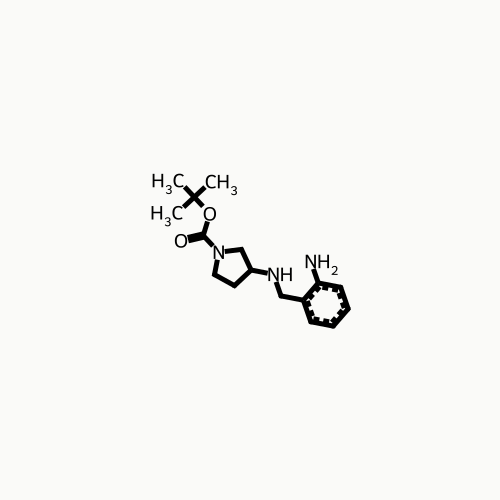 CC(C)(C)OC(=O)N1CCC(NCc2ccccc2N)C1